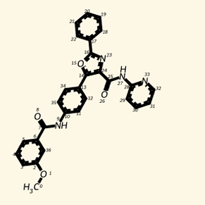 COc1cccc(C(=O)Nc2ccc(-c3oc(-c4ccccc4)nc3C(=O)Nc3ccccn3)cc2)c1